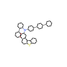 c1ccc(-c2ccc(-c3ccc(N(c4ccc5ccc6sc7ccccc7c6c5c4)c4ccccc4-c4ccccc4)cc3)cc2)cc1